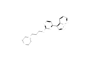 c1cnn2ncc(-c3ccnc(NCCCN4CCOCC4)n3)c2c1